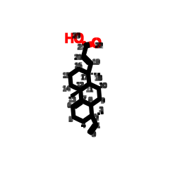 C=C[C@@]1(C)CCC=C2C1CCC1[C@@]2(C)CCC[C@@]1(C)/C=C/C(=O)O